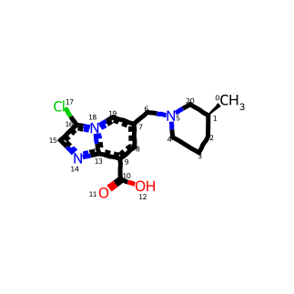 C[C@H]1CCCN(Cc2cc(C(=O)O)c3ncc(Cl)n3c2)C1